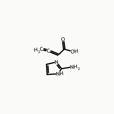 C=C=CC(=O)O.Nc1ncc[nH]1